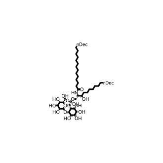 CCCCCCCCCCCCCCCCCCCCCCCC(=O)N[C@@H](COP(=O)(O)O[C@@H]1[C@H](O)[C@H](O)[C@@H](O)[C@H](O)[C@H]1OC1O[C@H](CO)[C@@H](O)[C@H](O)[C@@H]1O)[C@H](O)CCCCCCCCCCCCCCCCC